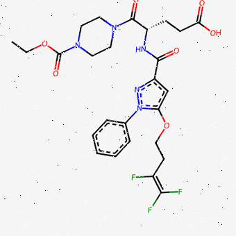 CCOC(=O)N1CCN(C(=O)[C@H](CCC(=O)O)NC(=O)c2cc(OCCC(F)=C(F)F)n(-c3ccccc3)n2)CC1